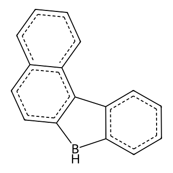 B1c2ccccc2-c2c1ccc1ccccc21